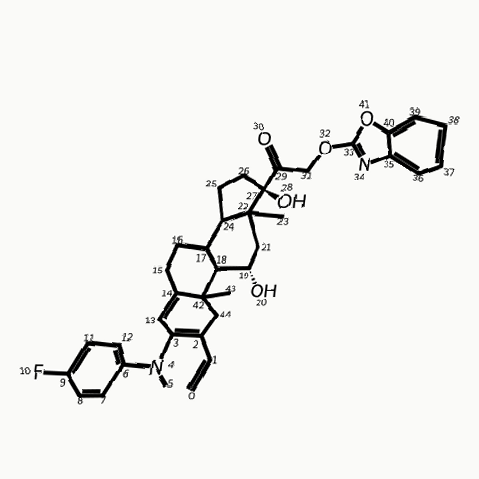 C=CC1=C(N(C)c2ccc(F)cc2)C=C2CCC3C([C@@H](O)CC4(C)C3CC[C@]4(O)C(=O)COc3nc4ccccc4o3)C2(C)C1